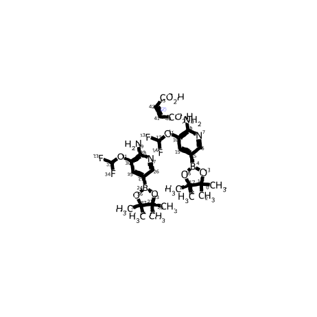 CC1(C)OB(c2cnc(N)c(OC(F)F)c2)OC1(C)C.CC1(C)OB(c2cnc(N)c(OC(F)F)c2)OC1(C)C.O=C(O)/C=C\C(=O)O